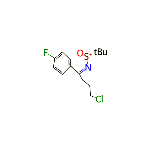 CC(C)(C)[S+]([O-])/N=C(/CCCCl)c1ccc(F)cc1